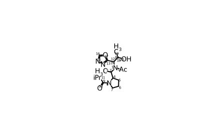 CC(=O)N(C(C)C1CCCN1C(=O)C(C)C)[C@H](c1nnco1)[C@@H](C)O